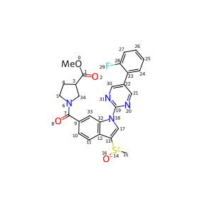 COC(=O)C1CCN(C(=O)c2ccc3c([S+](C)[O-])cn(-c4ncc(-c5ccccc5F)cn4)c3c2)C1